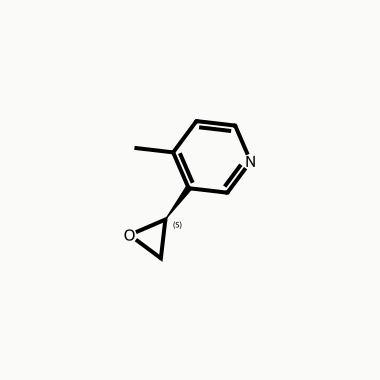 Cc1ccncc1[C@H]1CO1